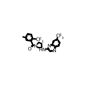 Cc1ccc(C(F)(F)F)c(C(=O)N2CCC(Nc3cnc4ccc(C(F)(F)F)cc4n3)C2)c1